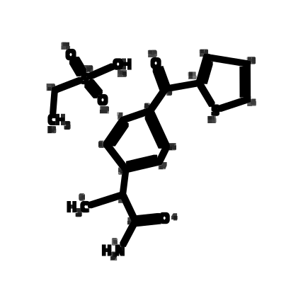 CC(C(N)=O)c1ccc(C(=O)c2cccs2)cc1.CCS(=O)(=O)O